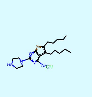 CCCCCc1sc2nc(N3CCNCC3)nc(N)c2c1CCCCC.Cl